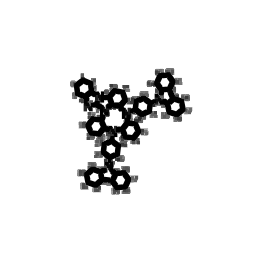 c1ccc2c(c1)nc1n2c2cccc3c2n1c1ccccc1n(-c1ccc(-n2c4ccccc4c4ccccc42)cc1)c1ccccc1n3-c1ccc(-n2c3ccccc3c3ccccc32)cc1